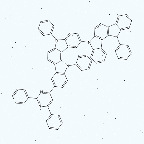 c1ccc(-c2cc(-c3ccc4c(c3)c3ccc5c(c6cc(-n7c8ccccc8c8c7ccc7c9ccccc9n(-c9ccccc9)c78)ccc6n5-c5ccccc5)c3n4-c3ccccc3)nc(-c3ccccc3)n2)cc1